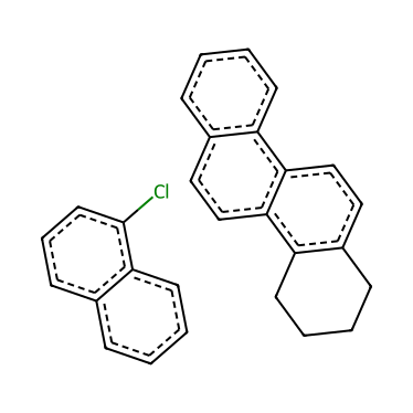 Clc1cccc2ccccc12.c1ccc2c(c1)ccc1c3c(ccc12)CCCC3